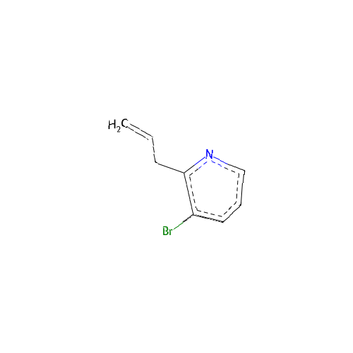 C=CCc1ncccc1Br